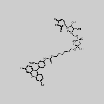 O=Cc1cc(NC(=S)NCCCCCCOP(=O)(O)OP(=O)(O)OC[C@H]2O[C@@H](n3ccc(=O)[nH]c3=O)C(O)C2O)ccc1-c1c2ccc(=O)cc-2oc2cc(O)ccc12